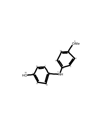 COc1ccc(Nc2ccc(O)cc2)cc1